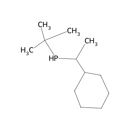 CC(PC(C)(C)C)C1CCCCC1